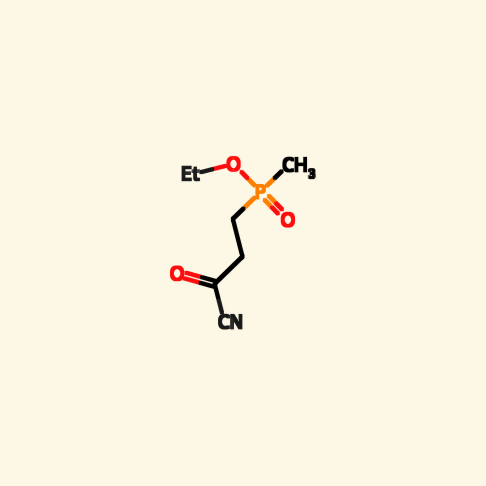 CCOP(C)(=O)CCC(=O)C#N